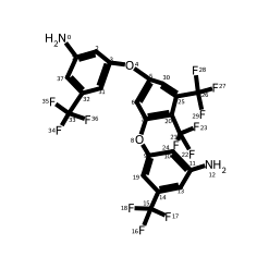 Nc1cc(Oc2cc(Oc3cc(N)cc(C(F)(F)F)c3)c(C(F)(F)F)c(C(F)(F)F)c2)cc(C(F)(F)F)c1